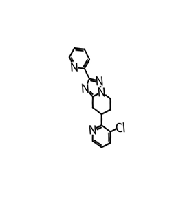 Clc1cccnc1C1CCn2nc(-c3ccccn3)nc2C1